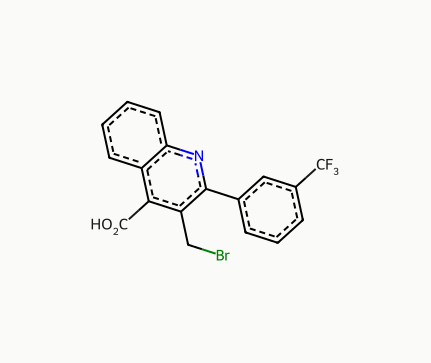 O=C(O)c1c(CBr)c(-c2cccc(C(F)(F)F)c2)nc2ccccc12